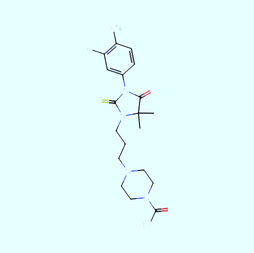 CCC(=O)N1CCN(CCCN2C(=S)N(c3ccc(C#N)c(C(F)(F)F)c3)C(=O)C2(C)C)CC1